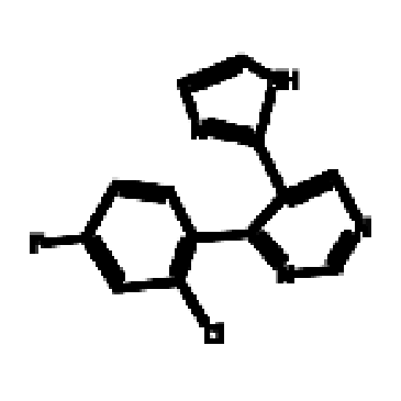 Fc1ccc(-c2n[c]ncc2-c2ncc[nH]2)c(Cl)c1